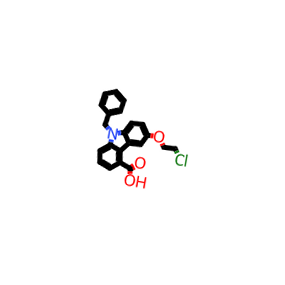 O=C(O)c1cccc2c1c1cc(OCCCl)ccc1n2Cc1ccccc1